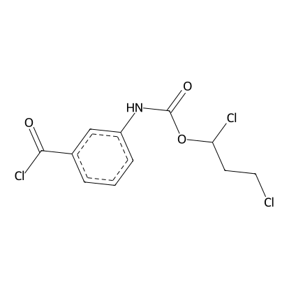 O=C(Nc1cccc(C(=O)Cl)c1)OC(Cl)CCCl